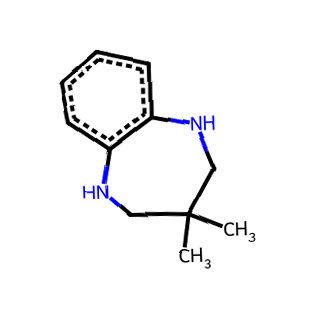 CC1(C)CNc2ccccc2NC1